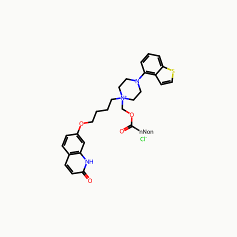 CCCCCCCCCC(=O)OC[N+]1(CCCCOc2ccc3ccc(=O)[nH]c3c2)CCN(c2cccc3sccc23)CC1.[Cl-]